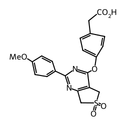 COc1ccc(-c2nc3c(c(Oc4ccc(CC(=O)O)cc4)n2)CS(=O)(=O)C3)cc1